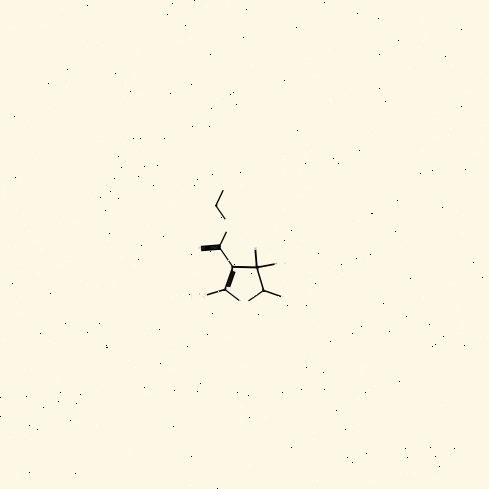 CCOC(=O)C1=C(N)SC(C)C1(C)O